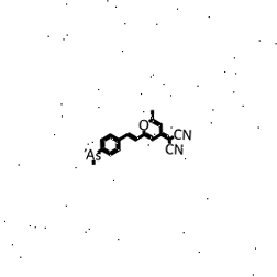 CC1=CC(=C(C#N)C#N)C=C(C=Cc2ccc([As](C)C)cc2)O1